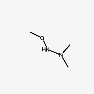 CON[N+](C)C